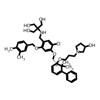 Cc1ccc(COc2cc(OC[C@@]3(OCCCN4CCC(O)C4)C=CC=C(c4ccccc4)C3(C)C)c(Cl)cc2CNC(CO)(CO)CO)cc1C